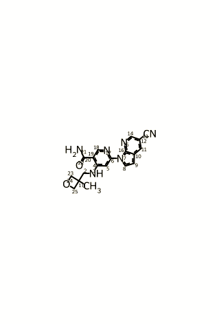 CC1(CNc2cc(-n3ccc4cc(C#N)cnc43)ncc2C(N)=O)COC1